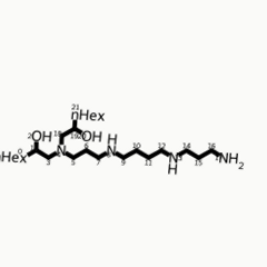 CCCCCCC(O)CN(CCCNCCCCNCCCN)CC(O)CCCCCC